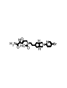 NC(=O)c1cc(CN(CCC2C[C@@H]3CN(c4ccc(Br)cn4)C[C@@H]3C2)C(=O)O)on1